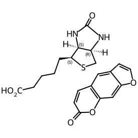 O=C(O)CCCC[C@@H]1SC[C@@H]2NC(=O)N[C@@H]21.O=c1ccc2cc3ccoc3cc2o1